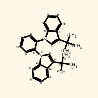 CC(C)(C)c1cn(-c2ccccc2-n2cc(C(C)(C)C)c3ccccc32)c2ccccc12